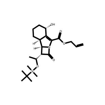 C=CCOC(=O)C1=C2[C@@H](O)CCC[C@@H]2[C@@H]2[C@@H](C(C)O[Si](C)(C)C(C)(C)C)C(=O)N12